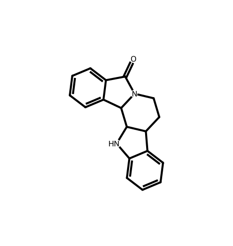 O=C1c2ccccc2C2C3Nc4ccccc4C3CCN12